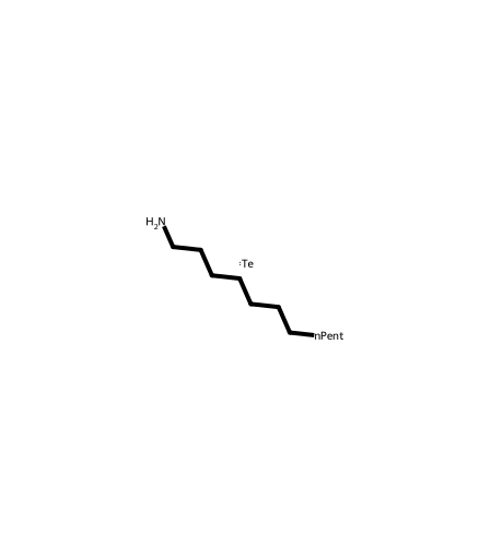 CCCCCCCCCCCCN.[Te]